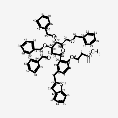 CNCCOc1ccc(Cc2cc3ccccc3s2)cc1[C@@H]1O[C@H](COCc2ccccc2)[C@@H](OCc2ccccc2)[C@H](OCc2ccccc2)[C@H]1OCc1ccccc1